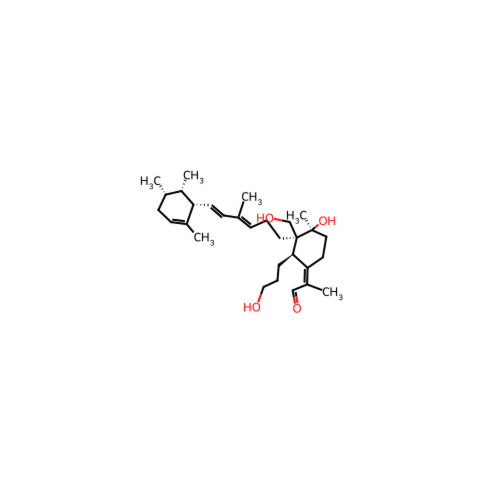 CC1=CC[C@H](C)[C@H](C)[C@@H]1/C=C/C(C)=C/CC[C@@]1(CO)[C@H](CCCO)/C(=C(/C)C=O)CC[C@]1(C)O